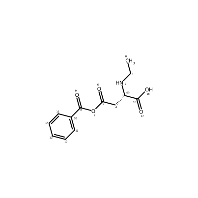 CCN[C@@H](CC(=O)OC(=O)c1ccccc1)C(=O)O